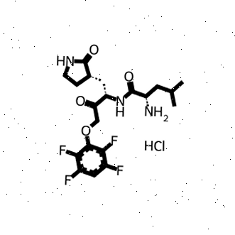 CC(C)C[C@H](N)C(=O)N[C@@H](C[C@@H]1CCNC1=O)C(=O)COc1c(F)c(F)cc(F)c1F.Cl